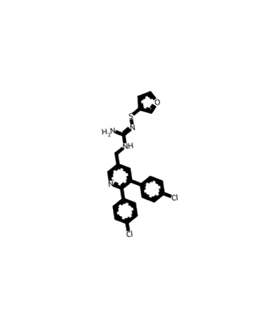 N/C(=N\Sc1ccoc1)NCc1cnc(-c2ccc(Cl)cc2)c(-c2ccc(Cl)cc2)c1